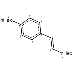 CCCCCCC=Cc1ccc(CCCCCC)cc1